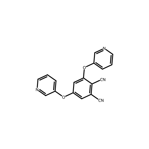 N#Cc1cc(Oc2cccnc2)cc(Oc2cccnc2)c1C#N